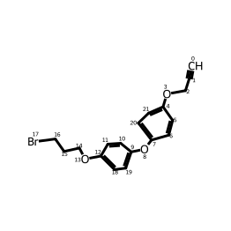 C#CCOc1ccc(Oc2ccc(OCCCBr)cc2)cc1